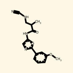 COc1cccc(-c2ncc(NC(=O)C(C)CNC#N)s2)c1